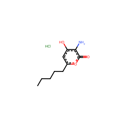 CCCCCc1cc(O)c(N)c(=O)o1.Cl